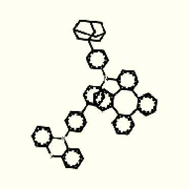 c1ccc2c(c1)Sc1ccccc1N2c1ccc(-c2ccc(N(c3ccc(C45CC6CC(CC(C6)C4)C5)cc3)c3cccc4c3-c3ccccc3-c3ccccc3-c3ccccc3-4)cc2)cc1